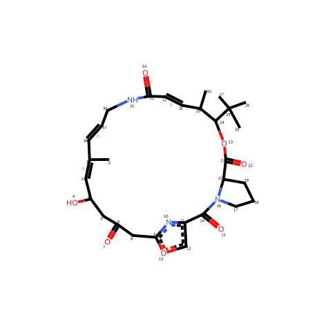 CC1=C\C(O)CC(=O)Cc2nc(co2)C(=O)N2CCCC2C(=O)OC(C(C)(C)C)C(C)/C=C/C(=O)NC\C=C\1